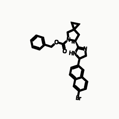 O=C(OCc1ccccc1)N1CC2(CC2)C[C@H]1C1=NCC(c2ccc3cc(Br)ccc3c2)N1